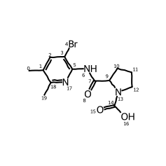 Cc1cc(Br)c(NC(=O)C2CCCN2C(=O)O)nc1C